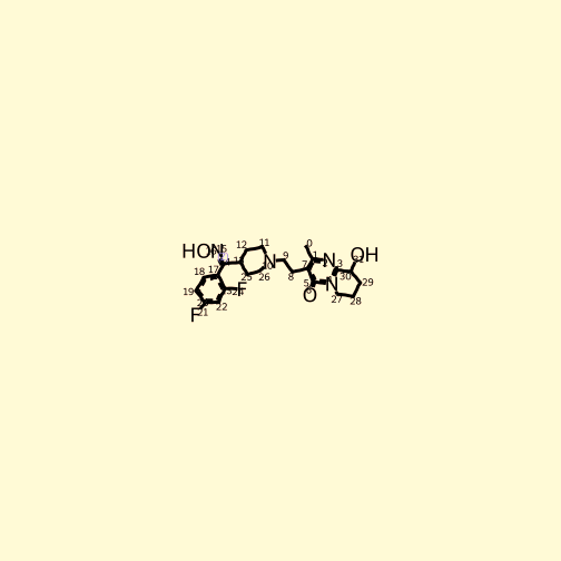 Cc1nc2n(c(=O)c1CCN1CCC(/C(=N/O)c3ccc(F)cc3F)CC1)CCCC2O